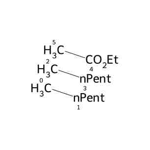 CCCCCC.CCCCCC.CCOC(C)=O